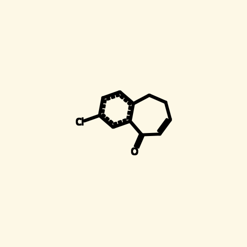 O=C1C=CCCc2ccc(Cl)cc21